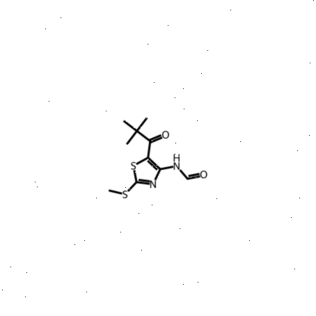 CSc1nc(NC=O)c(C(=O)C(C)(C)C)s1